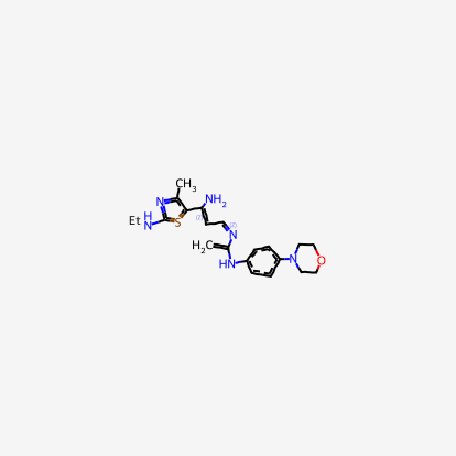 C=C(/N=C\C=C(/N)c1sc(NCC)nc1C)Nc1ccc(N2CCOCC2)cc1